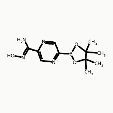 CC1(C)OB(c2cnc(/C(N)=N/O)cn2)OC1(C)C